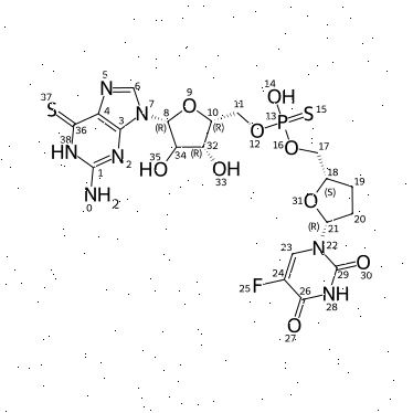 Nc1nc2c(ncn2[C@@H]2O[C@H](COP(O)(=S)OC[C@@H]3CC[C@H](n4cc(F)c(=O)[nH]c4=O)O3)[C@H](O)C2O)c(=S)[nH]1